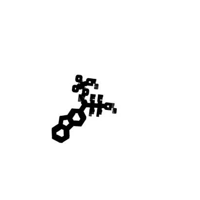 O=S(=O)(ON=C(c1ccc2c(c1)Cc1ccccc1-2)C(F)(F)C(F)(F)C(F)(F)F)C(F)(F)F